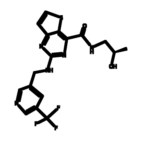 C[C@@H](O)CNC(=O)c1nc(NCc2cncc(C(F)(F)F)c2)nc2ccsc12